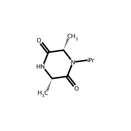 CC(C)N1C(=O)[C@H](C)NC(=O)[C@@H]1C